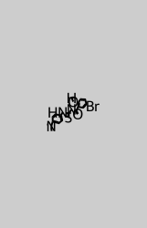 COc1ccc(Br)cc1C(=O)NC(=S)Nc1ccc(N(C)C)cc1